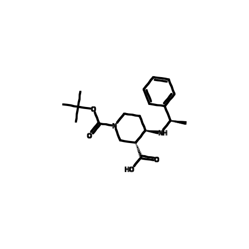 C[C@@H](N[C@@H]1CCN(C(=O)OC(C)(C)C)C[C@H]1C(=O)O)c1ccccc1